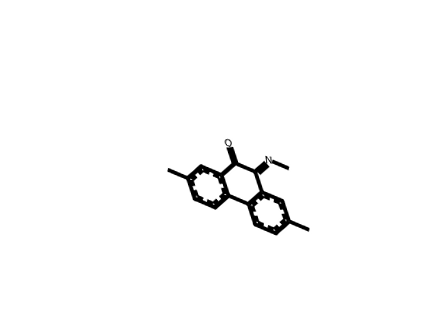 C/N=C1/C(=O)c2cc(C)ccc2-c2ccc(C)cc21